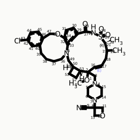 COC1(CN2CCN(C3(C#N)COC3)CC2)/C=C/CC(C)[C@@H](C)S(=O)(=O)NC(=O)c2ccc3c(c2)N(CCCCc2cc(Cl)ccc2CO3)C[C@@H]2CC[C@H]21